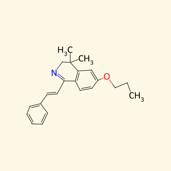 CCCOc1ccc2c(c1)C(C)(C)CN=C2C=Cc1ccccc1